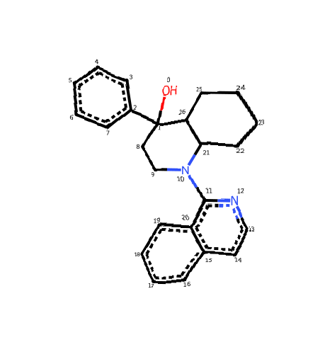 OC1(c2ccccc2)CCN(c2nccc3ccccc23)C2CCCCC21